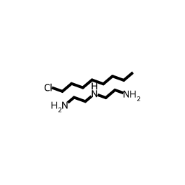 CCCCCCCCCl.NCCNCCN